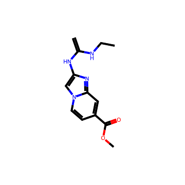 C=C(NCC)Nc1cn2ccc(C(=O)OC)cc2n1